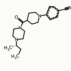 CC[C@H](C)N1CCN(C(=O)C2CCN(c3ccc(C#N)cc3)CC2)CC1